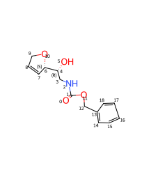 O=C(NC[C@@H](O)[C@@H]1C=CCO1)OCc1ccccc1